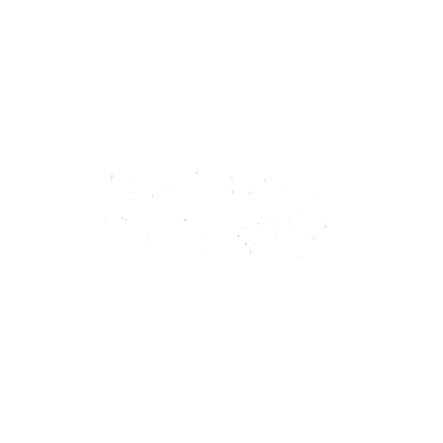 O=C(c1ccc2sc3ccc(C(=O)C4(O)CCCCC4)cc3c(=O)c(=O)c2c1)C1(O)CCCCC1